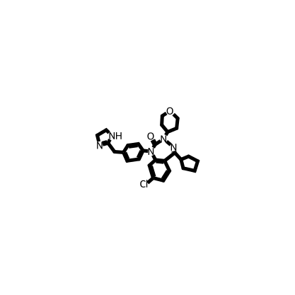 O=C1N(c2ccc(CC3=NCCN3)cc2)c2cc(Cl)ccc2C(C2CCCC2)=NN1C1CCOCC1